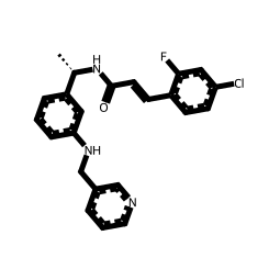 C[C@H](NC(=O)C=Cc1ccc(Cl)cc1F)c1cccc(NCc2cccnc2)c1